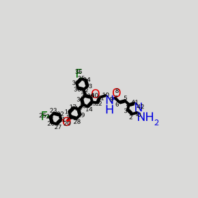 Nc1ccc(C=CC(=O)NCc2cc3cc(-c4ccc(Oc5ccc(F)cc5)cc4)cc(-c4ccc(F)cc4)c3o2)cn1